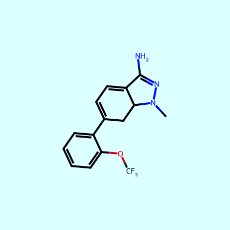 CN1N=C(N)C2=CC=C(c3ccccc3OC(F)(F)F)CC21